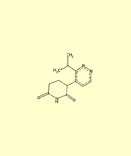 CC(C)c1nnccc1C1CCC(=O)NC1=O